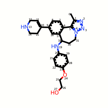 Cc1nnn2c1-c1ccc(C3=CCNCC3)cc1C(Nc1ccc(OCCO)cc1)CC2